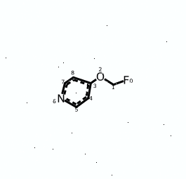 FCOc1ccncc1